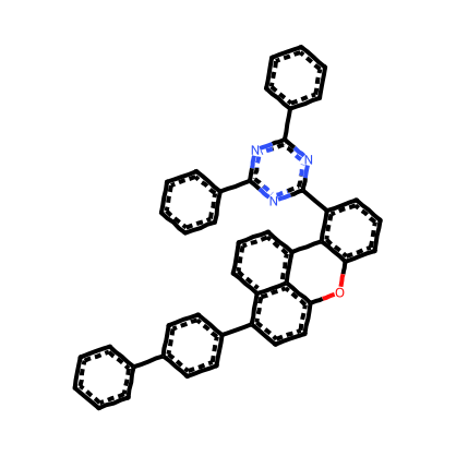 c1ccc(-c2ccc(-c3ccc4c5c(cccc35)-c3c(cccc3-c3nc(-c5ccccc5)nc(-c5ccccc5)n3)O4)cc2)cc1